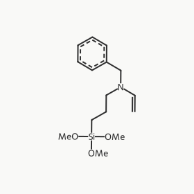 C=CN(CCC[Si](OC)(OC)OC)Cc1ccccc1